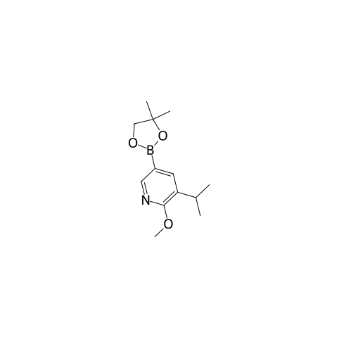 COc1ncc(B2OCC(C)(C)O2)cc1C(C)C